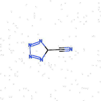 N#CC1N=NN=N1